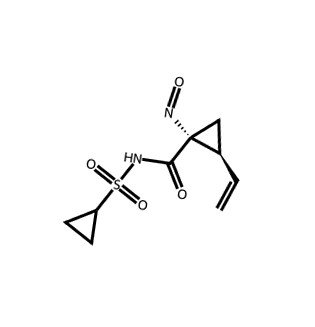 C=C[C@@H]1C[C@]1(N=O)C(=O)NS(=O)(=O)C1CC1